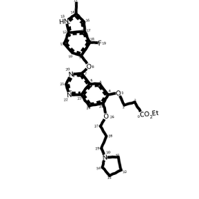 CCOC(=O)CCOc1cc2c(Oc3ccc4[nH]c(C)cc4c3F)ncnc2cc1OCCCN1CCCC1